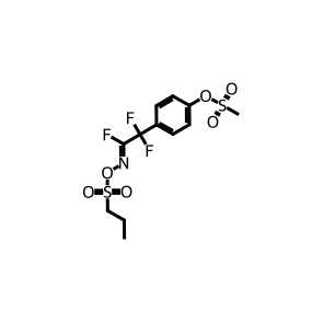 CCCS(=O)(=O)ON=C(F)C(F)(F)c1ccc(OS(C)(=O)=O)cc1